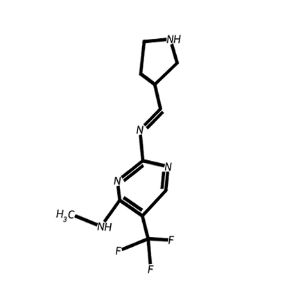 CNc1nc(/N=C/C2CCNC2)ncc1C(F)(F)F